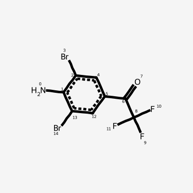 Nc1c(Br)cc(C(=O)C(F)(F)F)cc1Br